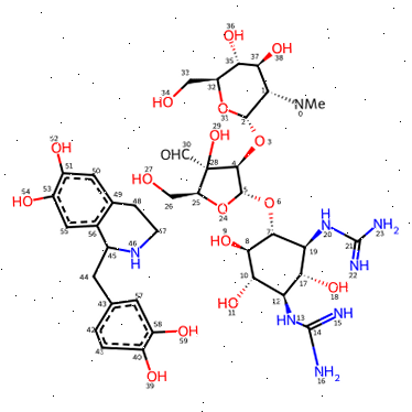 CN[C@@H]1[C@H](O[C@H]2[C@H](O[C@H]3[C@H](O)[C@@H](O)[C@H](NC(=N)N)[C@@H](O)[C@@H]3NC(=N)N)O[C@@H](CO)[C@]2(O)C=O)O[C@@H](CO)[C@H](O)[C@H]1O.Oc1ccc(CC2NCCc3cc(O)c(O)cc32)cc1O